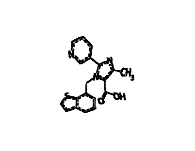 Cc1nc(-c2cccnc2)n(Cc2cccc3ccsc23)c1C(=O)O